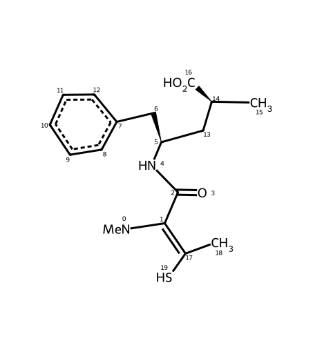 CN/C(C(=O)N[C@@H](Cc1ccccc1)C[C@H](C)C(=O)O)=C(/C)S